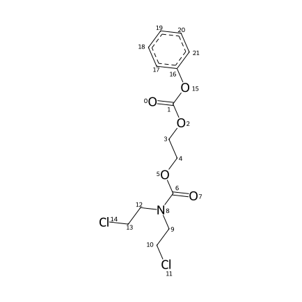 O=C(OCCOC(=O)N(CCCl)CCCl)Oc1ccccc1